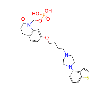 O=C1CCc2ccc(OCCCCN3CCN(c4cccc5sccc45)CC3)cc2N1COP(=O)(O)O